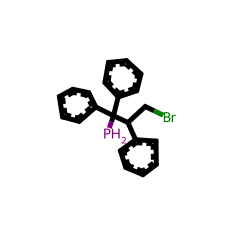 PC(c1ccccc1)(c1ccccc1)C(CBr)c1ccccc1